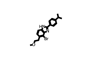 COCCc1ccc2[nH]c(-c3ccc(C(C)C)cc3)nc2c1Br